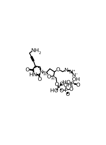 [N-]=[N+]=NCOC1C[C@H](n2cc(C#CCN)c(=O)[nH]c2=O)O[C@@H]1COP(=O)(O)OP(=O)(O)OP(=O)(O)O